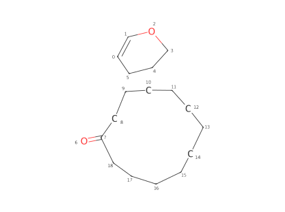 C1=COCCC1.O=C1CCCCCCCCCCC1